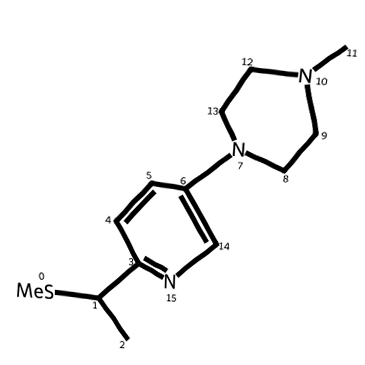 CSC(C)c1ccc(N2CCN(C)CC2)cn1